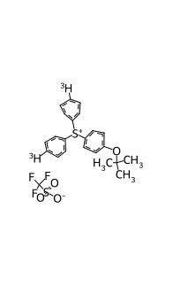 O=S(=O)([O-])C(F)(F)F.[3H]c1ccc([S+](c2ccc([3H])cc2)c2ccc(OC(C)(C)C)cc2)cc1